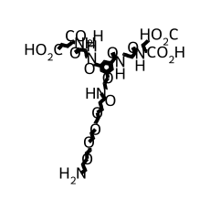 NCCOCCOCCOCCOCCC(=O)NCCOc1cc(C(=O)NCCC(=O)NC(CCC(=O)O)C(=O)O)cc(C(=O)NCCC(=O)NC(CCC(=O)O)C(=O)O)c1